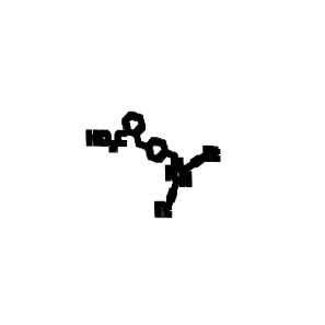 CCC#Cc1nc(C#CCC)n(Cc2ccc(Cc3ccccc3C(=O)O)cc2)n1